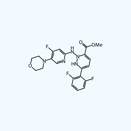 COC(=O)C1=CC=C(c2c(F)cccc2F)NN1Nc1cc(F)c(N2CCOCC2)cn1